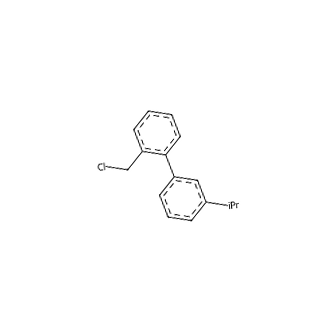 CC(C)c1cccc(-c2ccccc2CCl)c1